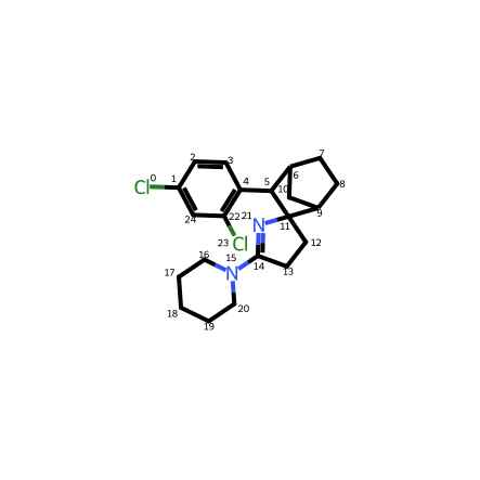 Clc1ccc(C2C3CCC(C3)C23CCC(N2CCCCC2)=N3)c(Cl)c1